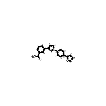 O=C(O)c1cccc(-c2ccn(-c3ccc(-c4ccno4)cc3)n2)c1